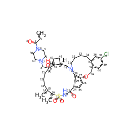 C=CC(=O)N1CCN(C[C@@]2(O)CCC[C@H](C)[C@@H](C)S(=O)(=O)NC(=O)c3ccc4c(c3)N(CCCCc3cc(Cl)ccc3CO4)C[C@@H]3CC[C@H]32)CC1